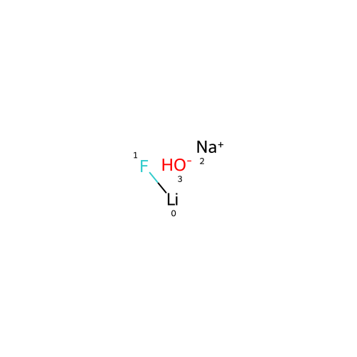 [Li][F].[Na+].[OH-]